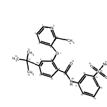 Cc1ncccc1Oc1cc(C(C)(C)C)ccc1C(=O)Nc1cccc(S(N)(=O)=O)c1